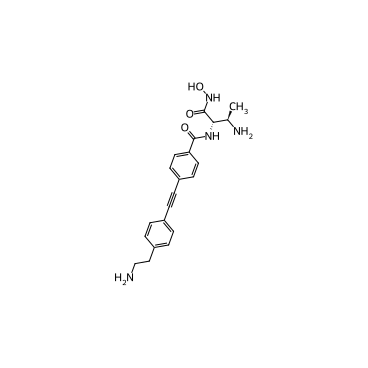 C[C@@H](N)[C@H](NC(=O)c1ccc(C#Cc2ccc(CCN)cc2)cc1)C(=O)NO